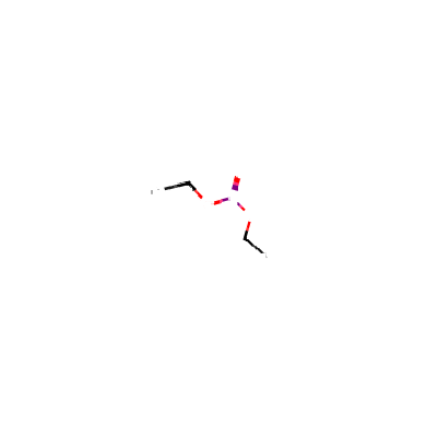 CC(C)CO[P](=O)OCC(C)C